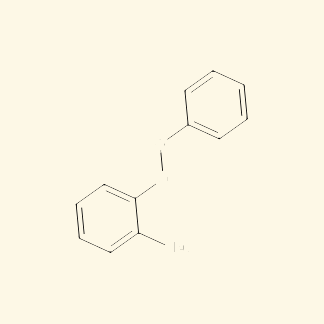 CC(C)(C)c1ccccc1OOc1ccccc1